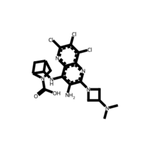 CN(C)C1CN(c2nc3c(Cl)c(Cl)c(Cl)nc3c(NC3C4CC3N(C(=O)O)C4)c2N)C1